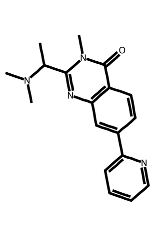 CC(c1nc2cc(-c3ccccn3)ccc2c(=O)n1C)N(C)C